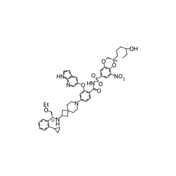 CCOC[C@@H](NC1CC2(CCN(c3ccc(C(=O)NS(=O)(=O)c4cc5c(c([N+](=O)[O-])c4)O[C@H]([C@H]4CC[C@](C)(O)CC4)CO5)c(Oc4cnc5[nH]ccc5c4)c3)CC2)C1)c1ccccc1C1CC1